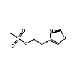 CS(=O)(=O)OCCc1cocn1